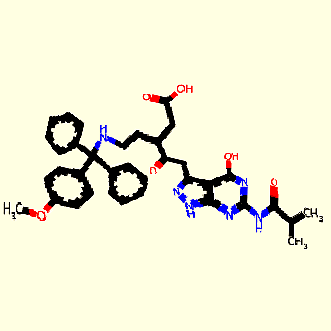 COc1ccc(C(NCCC(CC(=O)O)C(=O)Cc2n[nH]c3nc(NC(=O)C(C)C)nc(O)c23)(c2ccccc2)c2ccccc2)cc1